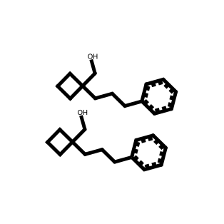 OCC1(CCCc2ccccc2)CCC1.OCC1(CCCc2ccccc2)CCC1